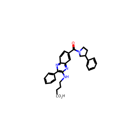 O=C(O)CCCNc1nc2cc(C(=O)N3CCC(c4ccccc4)C3)ccc2nc1-c1ccccc1